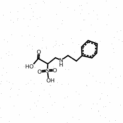 O=C(O)C(CNCCc1ccccc1)S(=O)(=O)O